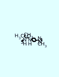 CC(C)C(NC=S)C(=O)Nc1ccc(C2=NCCN2C)cc1